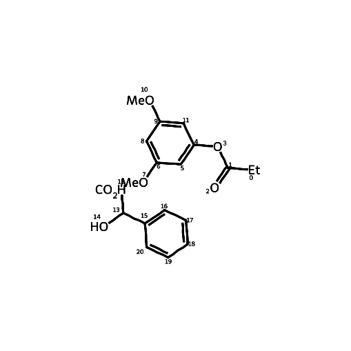 CCC(=O)Oc1cc(OC)cc(OC)c1.O=C(O)C(O)c1ccccc1